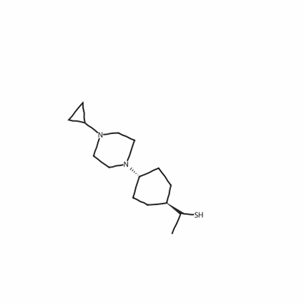 CC(S)[C@H]1CC[C@H](N2CCN(C3CC3)CC2)CC1